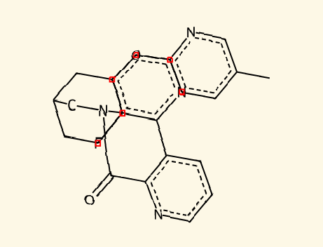 Cc1ccc(OC2CC3CCC2N(C(=O)c2ncccc2-c2ncccc2F)C3)nc1